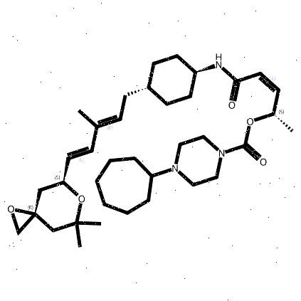 CC(/C=C/[C@@H]1C[C@]2(CO2)CC(C)(C)O1)=C\C[C@H]1CC[C@H](NC(=O)/C=C\[C@H](C)OC(=O)N2CCN(C3CCCCCC3)CC2)CC1